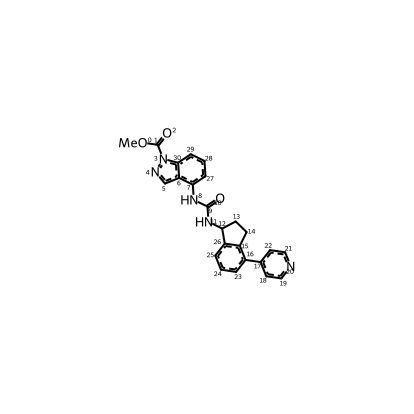 COC(=O)n1ncc2c(NC(=O)NC3CCc4c(-c5ccncc5)cccc43)cccc21